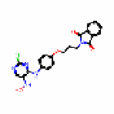 O=C1c2ccccc2C(=O)N1CCCOc1ccc(Nc2nc(Cl)ncc2NO)cc1